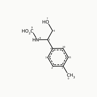 Cc1ccc(C(CO)NC(=O)O)cc1